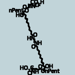 CCCCCC(OC(=O)CCC(NCl)C(=O)O)C(O)CC=CCCCCCCCC(=O)NCCNC(=O)CCCCCCCC=CCC(O)C(CCCCC)OC(=O)CCC(NCl)C(=O)O